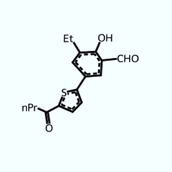 CCCC(=O)c1ccc(-c2cc(C=O)c(O)c(CC)c2)s1